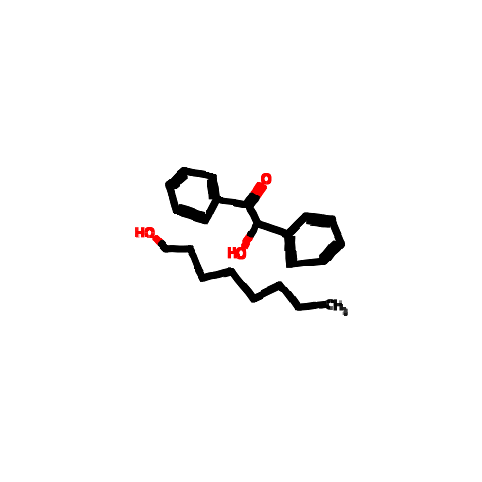 CCCCCCCCO.O=C(c1ccccc1)C(O)c1ccccc1